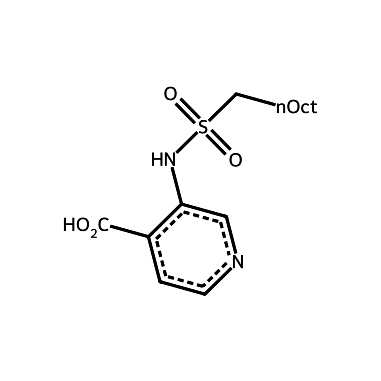 CCCCCCCCCS(=O)(=O)Nc1cnccc1C(=O)O